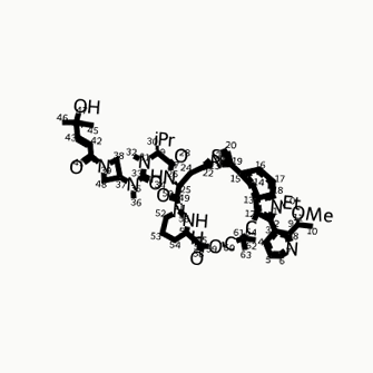 CCn1c(-c2cccnc2[C@H](C)OC)c2c3cc(ccc31)-c1csc(n1)C[C@H](NC(=O)[C@H](C(C)C)N(C)C(=O)N(C)C1CN(C(=O)/C=C/C(C)(C)O)C1)C(=O)N1CCC[C@H](N1)C(=O)OCC(C)(C)C2